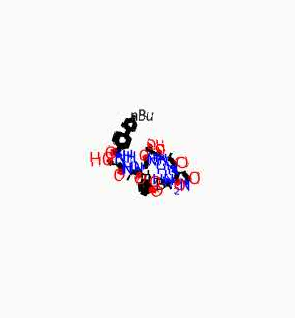 CCCCc1ccc(-c2ccc(C(=O)N[C@H](CO)C(=O)N[C@H](C)C(=O)NCC(=O)NC(C(=O)N[C@@H](C)C(=O)N[C@@H](CC(N)=O)C(=O)N[C@@H](C)B3OC4CC5C[C@@H](C5(C)C)[C@]4(C)O3)C(C)O)cc2)cc1